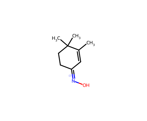 CC1=C/C(=N\O)CCC1(C)C